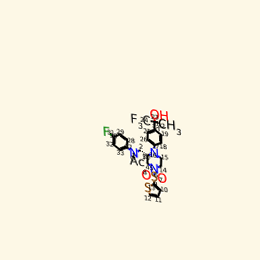 CC(=O)N(C[C@H]1CN(S(=O)(=O)c2cccs2)CCN1c1ccc(C(C)(O)C(F)(F)F)cc1)c1ccc(F)cc1